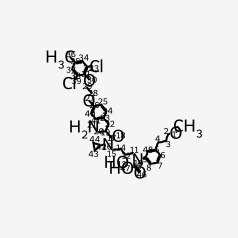 COCCCc1cccc(N(CC(O)CCN(C(=O)C(CN)Cc2ccc(OCCOc3c(Cl)cc(C)cc3Cl)cc2)C2CC2)C(=O)O)c1